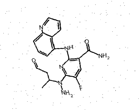 CC(CC=O)N(N)c1nc(Nc2cccc3ncccc23)c(C(N)=O)cc1F